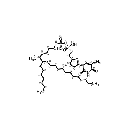 CCCCCCCCCCCCSC(CCCCCCC)C(C)OCCCOP(=O)(O)OP(=O)(O)OC[C@H]1O[C@@H](n2cc(C)c(=O)[nH]c2=O)C[C@@H]1F